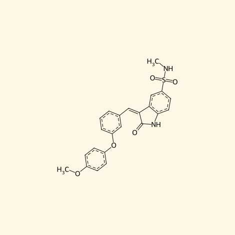 CNS(=O)(=O)c1ccc2c(c1)C(=Cc1cccc(Oc3ccc(OC)cc3)c1)C(=O)N2